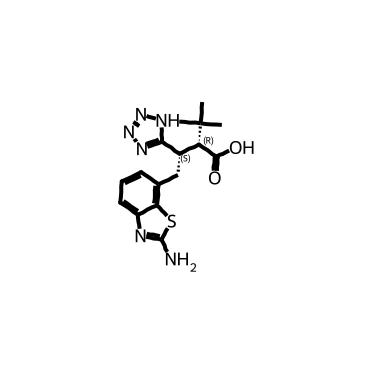 CC(C)(C)[C@H](C(=O)O)[C@H](Cc1cccc2nc(N)sc12)c1nnn[nH]1